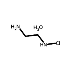 NCCNCl.O